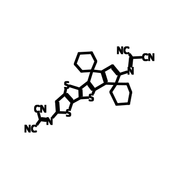 N#CC(C#N)=NC1=CC2=C(c3sc4c(sc5cc(N=C(C#N)C#N)sc54)c3C23CCCCC3)C12CCCCC2